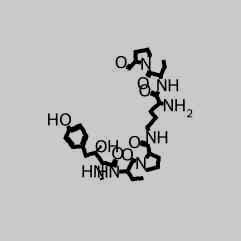 CCC(NC(=O)C(N)CCCNC(=O)C1CCCN1C(=O)C(CC)NC(=O)C(NC)[C@H](O)Cc1ccc(O)cc1)C(=O)N1CCCC1C=O